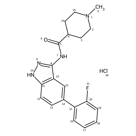 CN1CCC(C(=O)Nc2n[nH]c3ccc(-c4ccccc4F)cc23)CC1.Cl